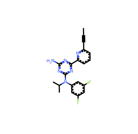 CC#Cc1cccc(-c2nc(N)nc(N(c3cc(F)cc(F)c3)C(C)C)n2)n1